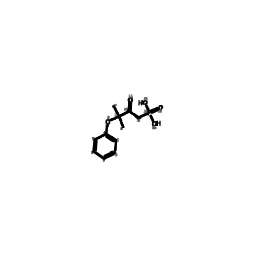 CC(C)(Oc1ccccc1)C(=O)CP(=O)(O)O